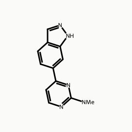 CNc1nccc(-c2ccc3cn[nH]c3c2)n1